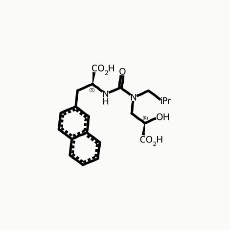 CC(C)CN(C[C@@H](O)C(=O)O)C(=O)N[C@@H](Cc1ccc2ccccc2c1)C(=O)O